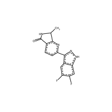 CC1NC(=O)c2ccc(-c3n[nH]c4cc(F)c(F)cc34)nc21